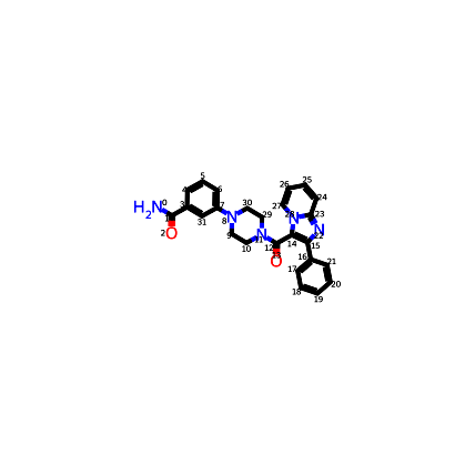 NC(=O)c1cccc(N2CCN(C(=O)c3c(-c4ccccc4)nc4ccccn34)CC2)c1